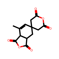 CC1=CC2(CC(=O)OC(=O)C2)CC2C(=O)OC(=O)C12